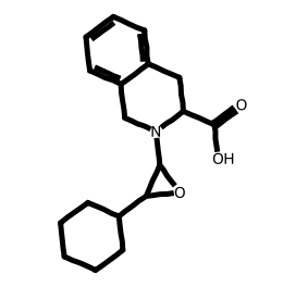 O=C(O)C1Cc2ccccc2CN1C1OC1C1CCCCC1